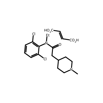 CCN(C(=O)CC1CCN(C)CC1)c1c(Cl)cccc1Cl.O=C(O)/C=C/C(=O)O